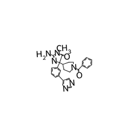 CN1C(=O)C(c2cccc(-c3cncnc3)c2)(C2CCN(C(=O)c3ccccc3)CC2)N=C1N